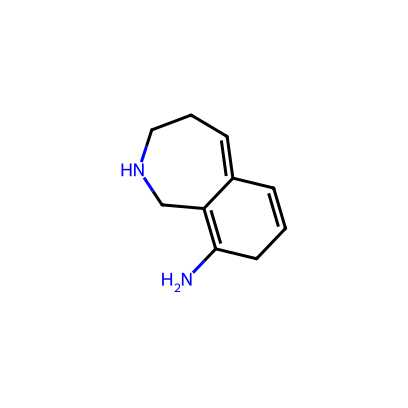 NC1=C2CNCCC=C2C=CC1